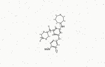 CNc1ccc(Oc2nc(NC3CCCCCC3)nc(N(C)C3CCN(C)CC3)n2)cc1Cl